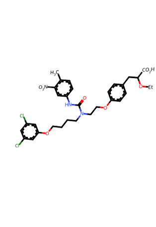 CCOC(Cc1ccc(OCCN(CCCCOc2cc(Cl)cc(Cl)c2)C(=O)Nc2ccc(C)c([N+](=O)[O-])c2)cc1)C(=O)O